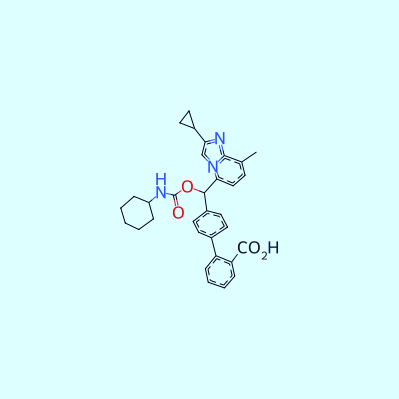 Cc1ccc(C(OC(=O)NC2CCCCC2)c2ccc(-c3ccccc3C(=O)O)cc2)n2cc(C3CC3)nc12